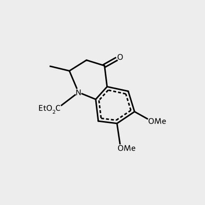 CCOC(=O)N1c2cc(OC)c(OC)cc2C(=O)CC1C